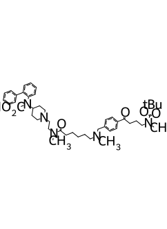 CN(CCCCCC(=O)N(C)CCN1CCC(N(C(=O)O)c2ccccc2-c2ccccc2)CC1)Cc1ccc(C(=O)CCCN(C)C(=O)OC(C)(C)C)cc1